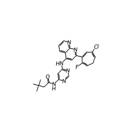 CC(C)(C)CC(=O)Nc1cc(Nc2cc(C3=CC(Cl)=CCC=C3F)nc3ncccc23)ncn1